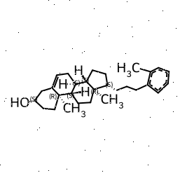 Cc1ccccc1CCC[C@H]1CC[C@H]2[C@@H]3CC=C4C[C@@H](O)CC[C@]4(C)[C@H]3CC[C@]12C